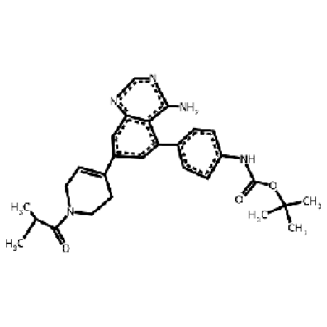 CC(C)C(=O)N1CC=C(c2cc(-c3ccc(NC(=O)OC(C)(C)C)cc3)c3c(N)ncnc3c2)CC1